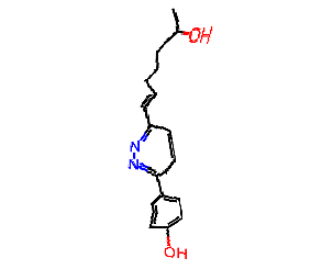 CC(O)CCCC=Cc1ccc(-c2ccc(O)cc2)nn1